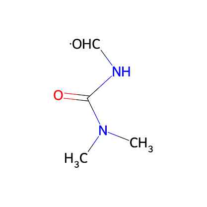 CN(C)C(=O)N[C]=O